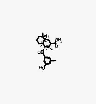 Cc1cc(O)cc(C2OC2[C@H]2[C@H](C)C(C(N)=O)C[C@H]3C(C)(C)CCC[C@]23C)c1